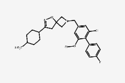 CCOc1cc(CN2CC3(CC(C4CCC(C(=O)O)CC4)=NO3)C2)cc(Cl)c1-c1ccc(F)cc1